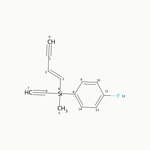 C#CC=C[Si](C)(C#C)c1ccc(F)cc1